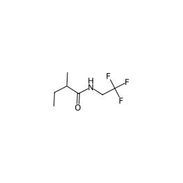 CCC(C)C(=O)NCC(F)(F)F